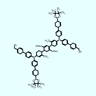 CCCCCCC1=CC(C2CC=C(N(c3ccc(C4C=CC(CC(C)C)=CC4)cc3)C3C=CC(C4C=CC(B5OC(C)(C)C(C)(C)O5)CC4)=CC3)C=C2C)=C(CCCCCC)CC1C1CCC(N(c2ccc(C3C=CC(CC(C)C)=CC3)cc2)c2ccc(C3C=CC(B4OC(C)(C)C(C)(C)O4)CC3)cc2)C=C1C